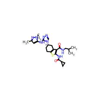 Cc1cc(Nc2nncn2[C@H]2CCc3sc(NC(=O)C4CC4)c(C(=O)NCC(C)C)c3C2)n(C)n1